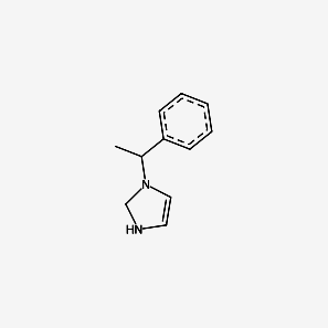 CC(c1ccccc1)N1C=CNC1